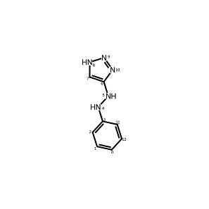 c1ccc(NNc2c[nH]nn2)cc1